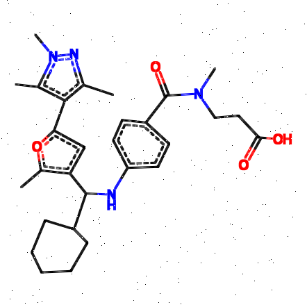 Cc1nn(C)c(C)c1-c1cc(C(Nc2ccc(C(=O)N(C)CCC(=O)O)cc2)C2CCCCC2)c(C)o1